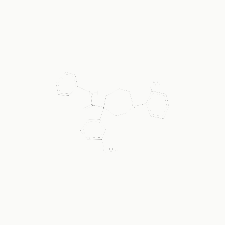 COc1cccc(C2(C(=O)Nc3ccccc3)CCCN(c3ccccc3OC)CC2)c1